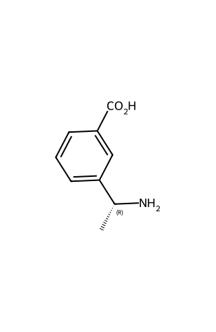 C[C@@H](N)c1cccc(C(=O)O)c1